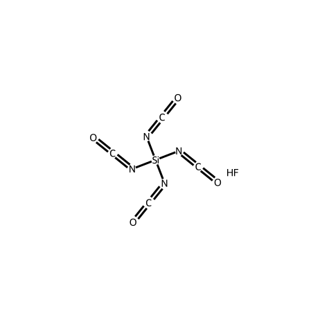 F.O=C=N[Si](N=C=O)(N=C=O)N=C=O